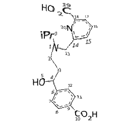 CC(C)N(CCC(O)c1ccc(C(=O)O)cc1)Cc1cccc(C(=O)O)n1